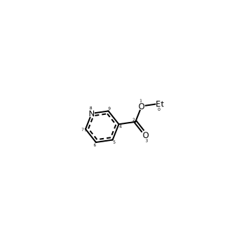 CCOC(=O)c1cc[c]nc1